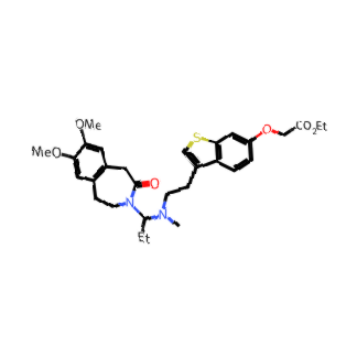 CCOC(=O)COc1ccc2c(CCN(C)C(CC)N3CCc4cc(OC)c(OC)cc4CC3=O)csc2c1